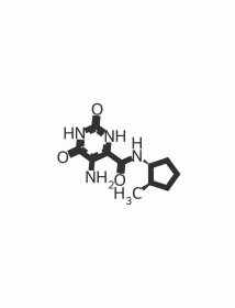 C[C@@H]1CCC[C@H]1NC(=O)c1[nH]c(=O)[nH]c(=O)c1N